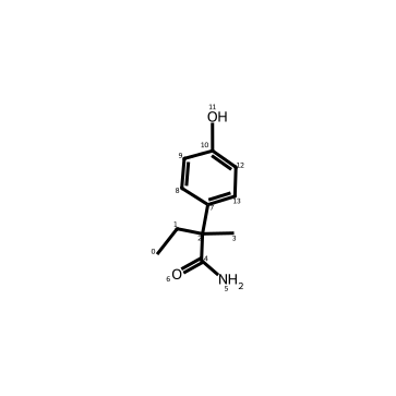 CCC(C)(C(N)=O)c1ccc(O)cc1